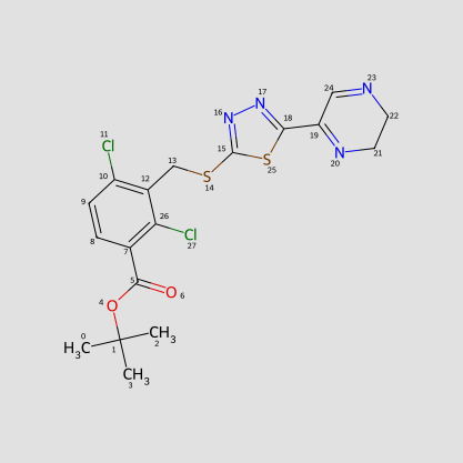 CC(C)(C)OC(=O)c1ccc(Cl)c(CSc2nnc(C3=NCCN=C3)s2)c1Cl